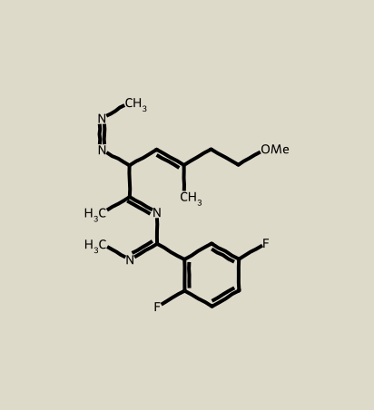 C/N=N\C(C=C(C)CCOC)/C(C)=N/C(=N\C)c1cc(F)ccc1F